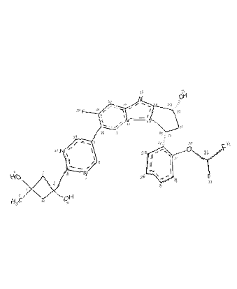 CC1(O)CC(O)(c2ncc(-c3cn4c5c(nc4cc3F)[C@H](O)C[C@@H]5c3ccccc3OC(F)F)cn2)C1